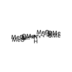 CO[Si](CCCCCCNCCCCCC[Si](OC)(OC)OC)(OC)OC